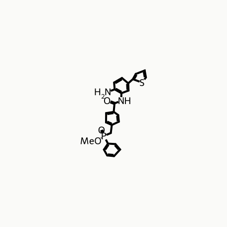 COP(=O)(Cc1ccc(C(=O)Nc2cc(-c3cccs3)ccc2N)cc1)c1ccccc1